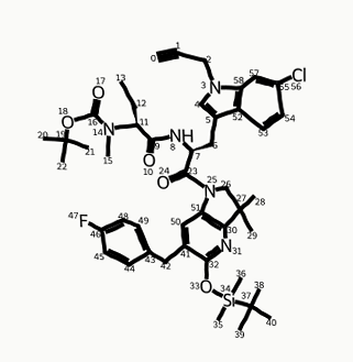 C#CCn1cc(C[C@H](NC(=O)[C@H](CC)N(C)C(=O)OC(C)(C)C)C(=O)N2CC(C)(C)c3nc(O[Si](C)(C)C(C)(C)C)c(Cc4ccc(F)cc4)cc32)c2ccc(Cl)cc21